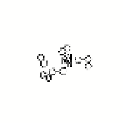 c1cc(-c2ccc3c(c2)oc2cccc(-c4ccc5ccccc5c4)c23)cc(-c2nc(-c3ccc(-c4cccc5ccccc45)cc3)nc(-c3cccc4ccccc34)n2)c1